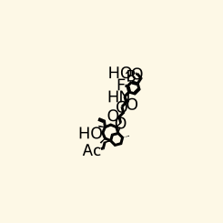 C=C[C@]1(C)C[C@@H](OC(=O)COC(=O)Nc2ccc3c(c2F)B(O)OC3)[C@@]2(C)C[C@](CCC(C)=O)(CC[C@H]2C)[C@@H](C)[C@@H]1O